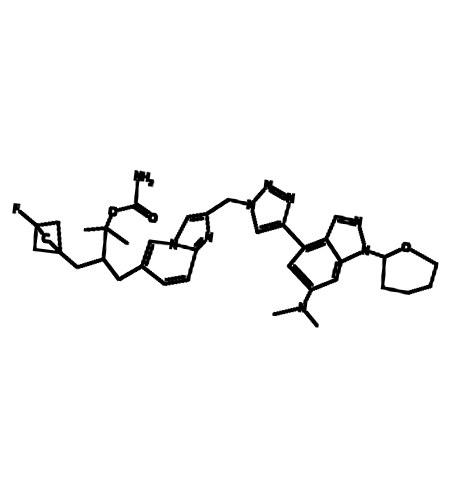 CN(C)c1cc(-c2cn(Cc3cn4cc(CC(CC56CC(F)(C5)C6)C(C)(C)OC(N)=O)ccc4n3)nn2)c2cnn(C3CCCCO3)c2c1